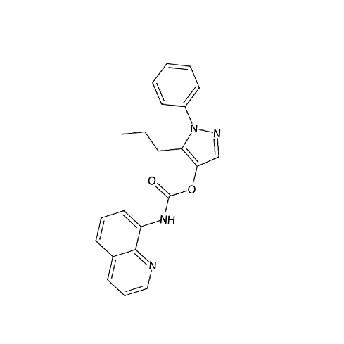 CCCc1c(OC(=O)Nc2cccc3cccnc23)cnn1-c1ccccc1